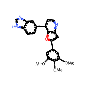 COc1cc(-c2cc3nccc(-c4ccc5[nH]cnc5c4)c3o2)cc(OC)c1OC